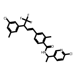 Cc1cc(Cl)cc(C(/C=C/c2ccc(C(=O)NC(C)c3ccc(Cl)nc3)c(C)c2)C(F)(F)F)c1